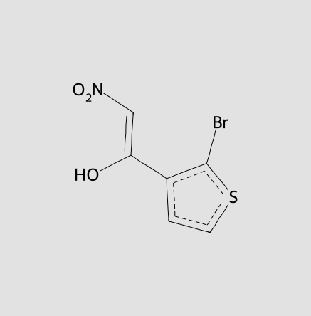 O=[N+]([O-])/C=C(\O)c1ccsc1Br